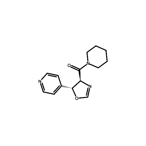 O=C([C@H]1N=CO[C@@H]1c1ccncc1)N1CCCCC1